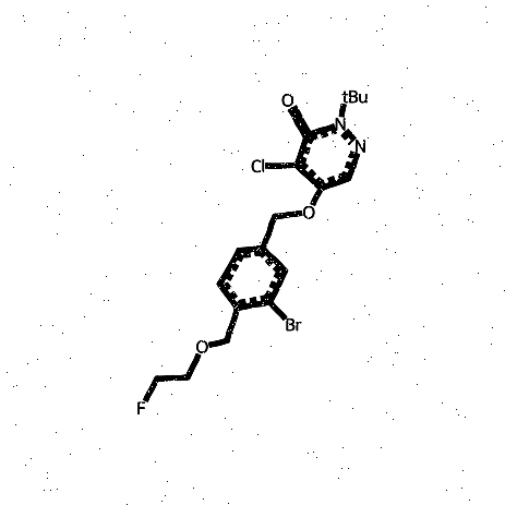 CC(C)(C)n1ncc(OCc2ccc(COCCF)c(Br)c2)c(Cl)c1=O